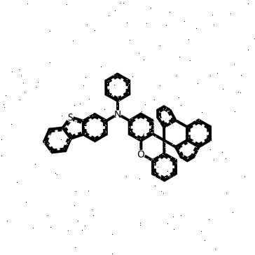 c1ccc(N(c2ccc3c(c2)Oc2ccccc2C32c3ccccc3-c3cccc4cccc2c34)c2ccc3c(c2)sc2ccccc23)cc1